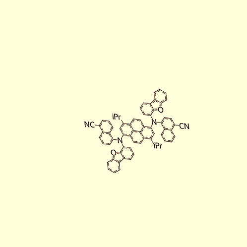 CC(C)c1cc(N(c2cccc3c(C#N)cccc23)c2cccc3c2oc2ccccc23)c2ccc3c(C(C)C)cc(N(c4ccc(C#N)c5ccccc45)c4cccc5c4oc4ccccc45)c4ccc1c2c34